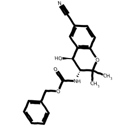 CC1(C)Oc2ccc(C#N)cc2[C@H](O)[C@H]1NC(=O)OCc1ccccc1